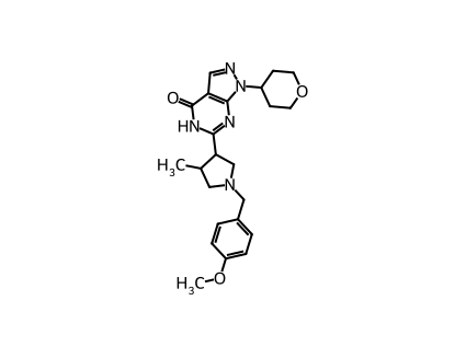 COc1ccc(CN2CC(C)C(c3nc4c(cnn4C4CCOCC4)c(=O)[nH]3)C2)cc1